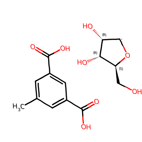 Cc1cc(C(=O)O)cc(C(=O)O)c1.OC[C@@H]1O[CH][C@@H](O)[C@H]1O